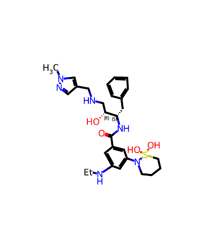 CCNc1cc(C(=O)N[C@@H](Cc2ccccc2)[C@H](O)CNCc2cnn(C)c2)cc(N2CCCCS2(O)O)c1